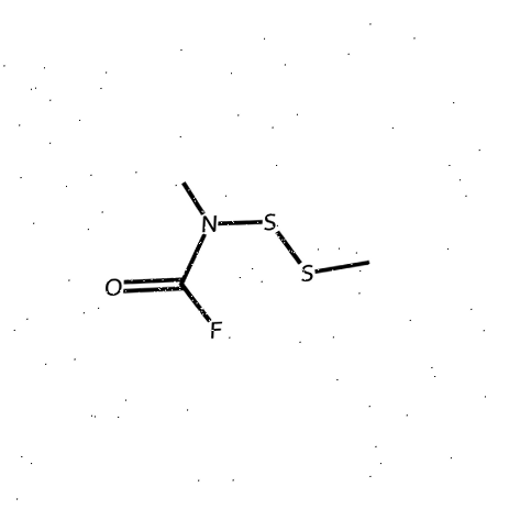 CSSN(C)C(=O)F